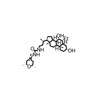 CC[C@H]1[C@@H](O)[C@@H]2[C@H](CC[C@]3(C)[C@@H]([C@H](C)CCNC(=O)NSN4C[C@@H](C)O[C@@H](C)C4)CC[C@@H]23)[C@@]2(C)CC[C@@H](O)C[C@@H]12